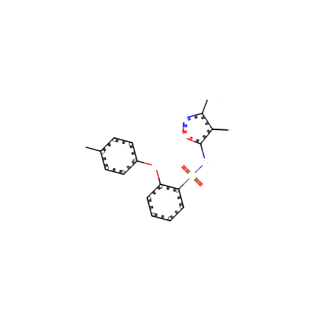 Cc1ccc(Oc2ccccc2S(=O)(=O)Nc2onc(C)c2C)cc1